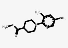 COC(=O)C1CCN(c2ncc(N)cc2C)CC1